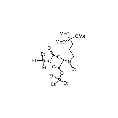 CCN(CCC[Si](OC)(OC)OC)C(CC(=O)O[Si](CC)(CC)CC)C(=O)O[Si](CC)(CC)CC